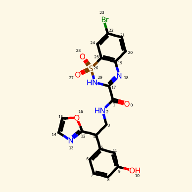 O=C(NCC(c1cccc(O)c1)c1ncco1)C1=Nc2ccc(Br)cc2S(=O)(=O)N1